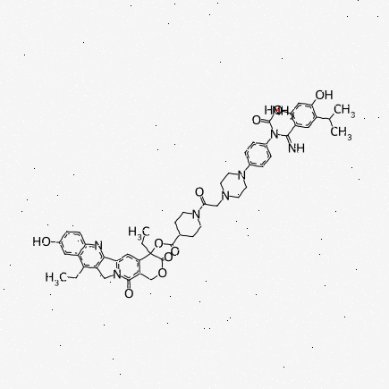 CCc1c2c(nc3ccc(O)cc13)-c1cc3c(c(=O)n1C2)COC(=O)C3(CC)OC(=O)C1CCN(C(=O)CN2CCN(c3ccc(N(C(=N)c4cc(C(C)C)c(O)cc4O)C(N)=O)cc3)CC2)CC1